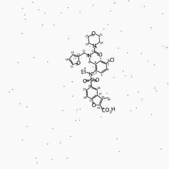 CCN(c1ccc(Cl)cc1CN(Cc1ccco1)C(=O)N1CCOCC1)S(=O)(=O)c1ccc2oc(C(=O)O)c(C)c2c1